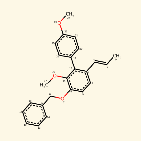 CC=Cc1ccc(OCc2ccccc2)c(OC)c1-c1ccc(OC)cc1